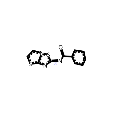 O=C(/N=c1/nc2sccn2s1)c1ccccc1